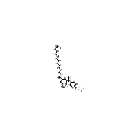 CSc1nc(NCCCOCCCCOCCCN)cc(Nc2ccc(C(=O)O)cc2)n1